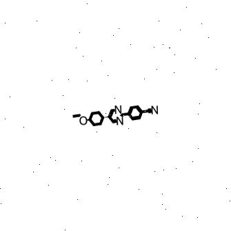 CCO[C@H]1CC[C@H](c2cnc(-c3ccc(C#N)cc3)nc2)CC1